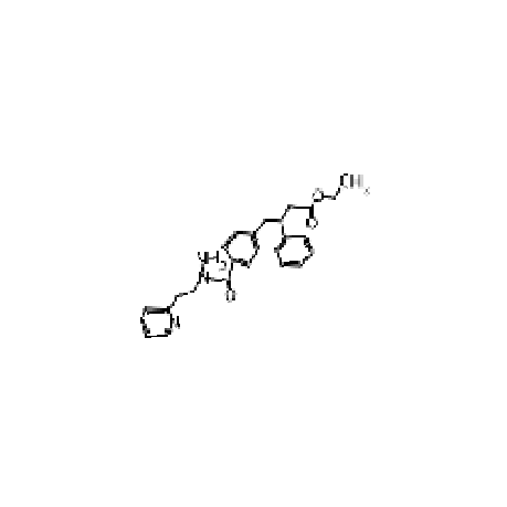 CCOC(=O)CC(Cc1ccc(C(=O)N(N)CCc2ccccn2)cc1)c1ccccc1